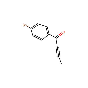 CC#CC(=O)c1ccc(Br)cc1